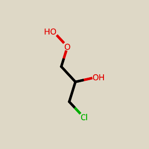 OOCC(O)CCl